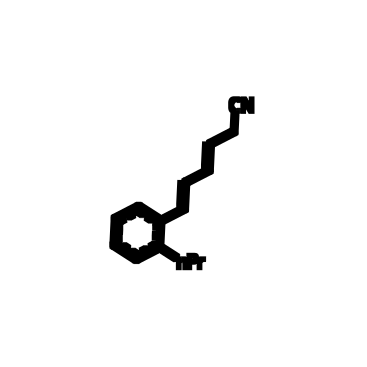 CCCc1ccccc1/C=C/C=C/CC#N